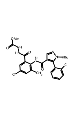 CCCCn1ncc(C(=O)Nc2c(C)cc(Cl)cc2C(=O)NNC(=O)OC)c1-c1ccccc1Cl